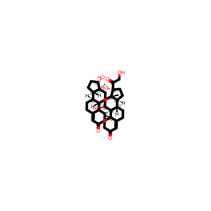 C[C@]12CC[C@H]3[C@@H](CCC4=CC(=O)CC([C@]56[C@@H](O)C[C@@]7(C)[C@@H](CC[C@]7(O)C(=O)CO)[C@@H]5CCC5=CC(=O)CC[C@@]56C)[C@@]43C)[C@@H]1CC[C@@H]2O